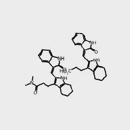 CN(C)C(=O)CCc1c(C=C2C(=O)Nc3ccccc32)[nH]c2c1CCCC2.O=C(O)CCc1c(C=C2C(=O)Nc3ccccc32)[nH]c2c1CCCC2